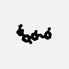 CCC1=CC=C(c2ccc(C)c(-c3ccc(CCc4cccc(F)c4)c(C)c3)c2)C1